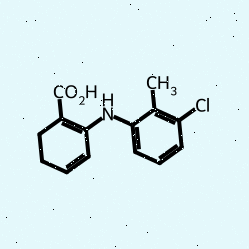 Cc1c(Cl)cccc1NC1=C(C(=O)O)CCC=C1